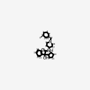 C[C@H]1CCC[C@@H](CN2CCC(NC(=O)C(O)(c3ccccc3)C3CCCC3)CC2)C1